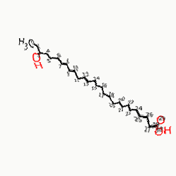 CCC(O)CCCCCCCCCCCCCCCCCCCCCCCCC(=O)O